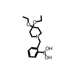 CCOC1(OCC)CCN(Cc2ccccc2B(O)O)CC1